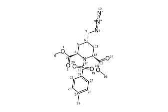 COC(=O)[C@H]1C[C@H](CN=[N+]=[N-])C[C@@H](C(=O)OC)N1S(=O)(=O)c1ccc(C)cc1